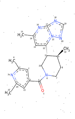 Cc1cc(C(=O)N2CC[C@H](C)[C@@H](c3cc(C)nc4ncnn34)C2)cc(C)n1